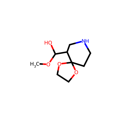 COC(O)C1CNCCC12OCCO2